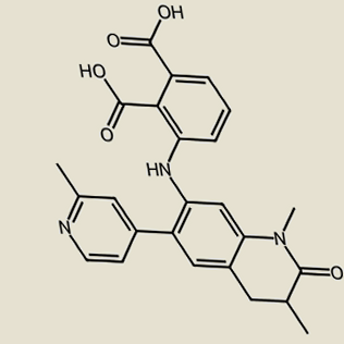 Cc1cc(-c2cc3c(cc2Nc2cccc(C(=O)O)c2C(=O)O)N(C)C(=O)C(C)C3)ccn1